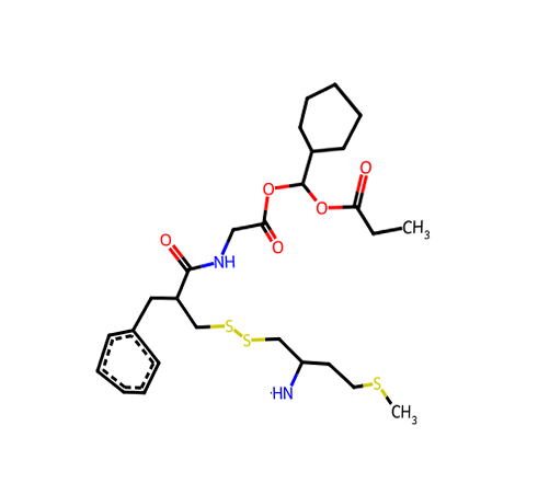 CCC(=O)OC(OC(=O)CNC(=O)C(CSSCC([NH])CCSC)Cc1ccccc1)C1CCCCC1